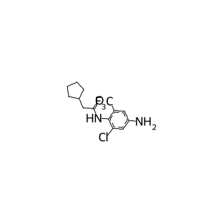 Nc1cc(Cl)c(NC(=O)CC2CCCC2)c(C(F)(F)F)c1